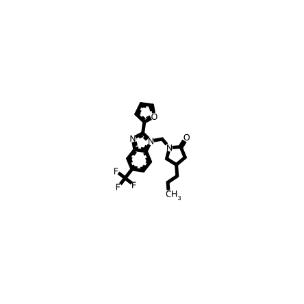 CCCC1CC(=O)N(Cn2c(-c3ccco3)nc3cc(C(F)(F)F)ccc32)C1